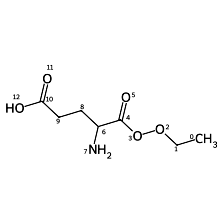 CCOOC(=O)C(N)CCC(=O)O